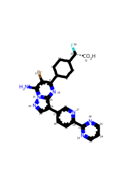 Nc1c(Br)c(C2CCC([C@H](F)C(=O)O)CC2)nc2c(-c3ccc(-c4ncccn4)nc3)cnn12